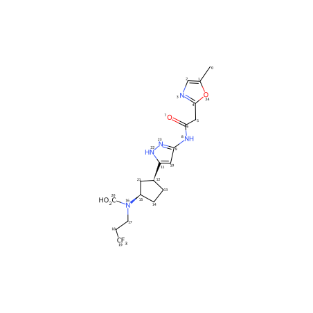 Cc1cnc(CC(=O)Nc2cc([C@H]3CC[C@@H](N(CCC(F)(F)F)C(=O)O)C3)[nH]n2)o1